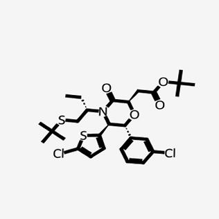 CC[C@@H](CSC(C)(C)C)N1C(=O)[C@@H](CC(=O)OC(C)(C)C)O[C@H](c2cccc(Cl)c2)[C@H]1c1ccc(Cl)s1